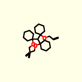 C=CCOC1(C(C2(OCC=C)CCCCC2)C2(OCC=C)CCCCC2)CCCCC1